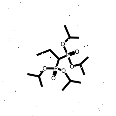 CCC(P(=O)(OC(C)C)OC(C)C)P(=O)(OC(C)C)OC(C)C